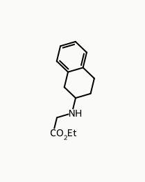 CCOC(=O)CNC1CCc2ccccc2C1